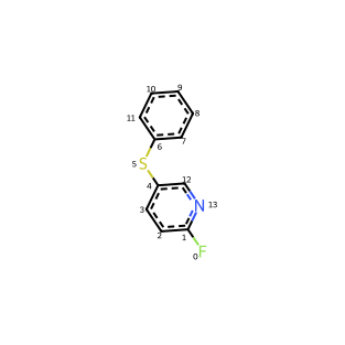 Fc1ccc(Sc2ccccc2)cn1